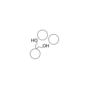 C1CCCCCCCCC1.C1CCCCCCCCC1.OCCC1(CCO)CCCCCCCCC1